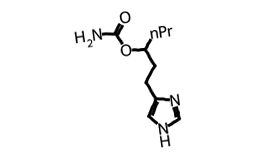 CCCC(CCc1c[nH]cn1)OC(N)=O